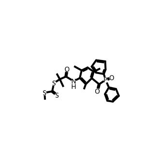 CSC(=S)SC(C)(C)C(=O)Nc1c(C)cc(C)c(C(=O)P(=O)(c2ccccc2)c2ccccc2)c1C